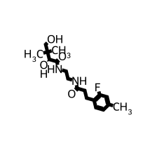 Cc1ccc(CCC(=O)NCCNC(=O)[C@H](O)C(C)(C)CO)c(F)c1